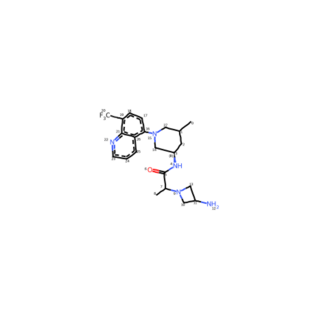 CC1C[C@@H](NC(=O)C(C)N2CC(N)C2)CN(c2ccc(C(F)(F)F)c3ncccc23)C1